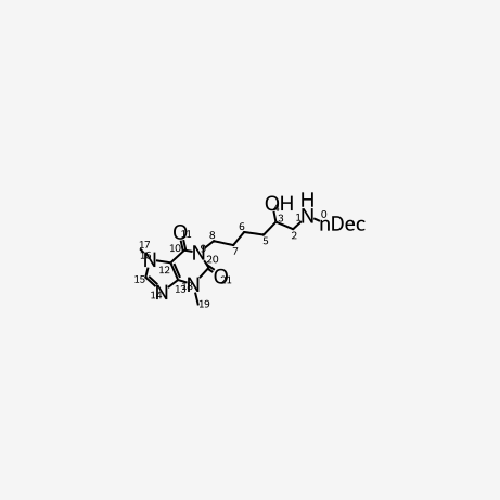 CCCCCCCCCCNCC(O)CCCCn1c(=O)c2c(ncn2C)n(C)c1=O